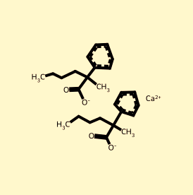 CCCCC(C)(C(=O)[O-])c1ccccc1.CCCCC(C)(C(=O)[O-])c1ccccc1.[Ca+2]